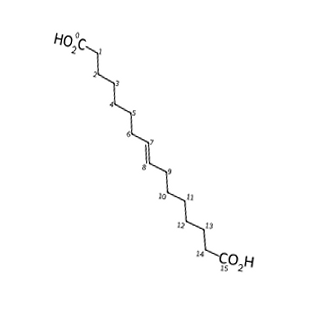 O=C(O)CCCCCCC=CCCCCCCC(=O)O